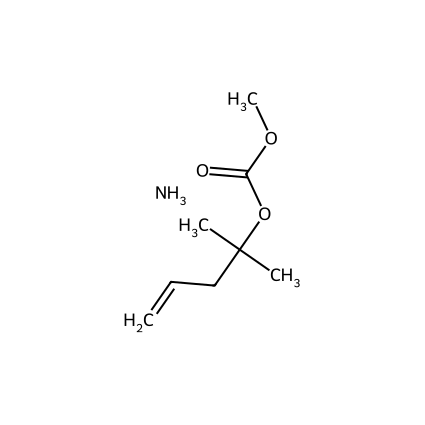 C=CCC(C)(C)OC(=O)OC.N